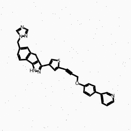 C(#Cc1cc(-c2n[nH]c3c2Cc2cc(Cn4cncn4)ccc2-3)cs1)COc1ccc(-c2cccnc2)cc1